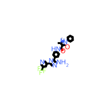 Cc1c(C(=O)Nc2ccc(-c3nc(-c4cncc(C(F)(F)F)c4)cnc3N)cc2)c(=O)n(-c2ccccc2)n1C